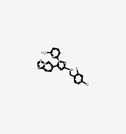 Cc1cccc(-n2nc(NCc3ccc(Cl)cc3F)cc2-c2ccc3ncnn3c2)n1